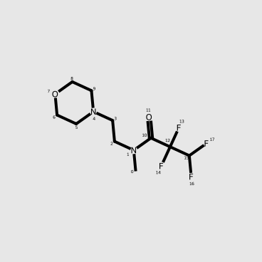 CN(CCN1CCOCC1)C(=O)C(F)(F)C(F)F